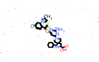 Cc1ccn(-c2cc(Cl)ccc2[C@@H](Oc2cc(N3CCC4(CC3)CC(C(=O)O)NC4C3CCCCC3)nc(N)n2)C(F)(F)F)n1